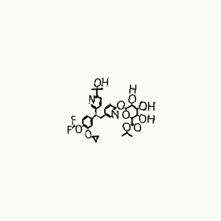 CC(C)OC(=O)C1O[C@@H](Oc2ccc(C[C@H](c3ccc(C(C)(C)O)nc3)c3ccc(OC(F)F)c(OC4CC4)c3)cn2)[C@@H](O)C(O)[C@@H]1O